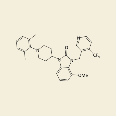 COc1cccc2c1n(Cc1cnccc1C(F)(F)F)c(=O)n2C1CCN(c2c(C)cccc2C)CC1